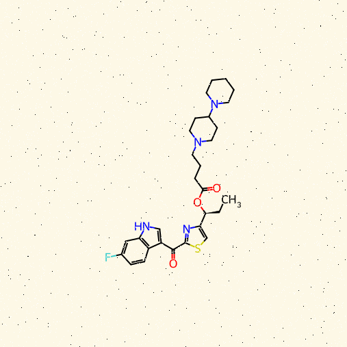 CC[C@H](OC(=O)CCCN1CCC(N2CCCCC2)CC1)c1csc(C(=O)c2c[nH]c3cc(F)ccc23)n1